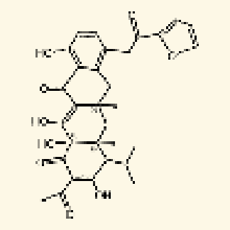 CC(=O)C1=C(O)C(C(C)C)[C@@]2(C)C[C@@]3(C)Cc4c(CC(=O)c5ccco5)ccc(O)c4C(=O)C3=C(O)[C@@]2(O)C1=O